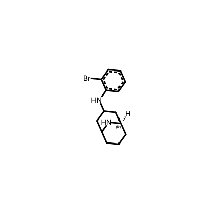 Brc1ccccc1NC1CC2CCC[C@H](C1)N2